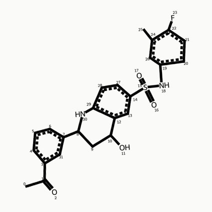 CC(=O)c1cccc(C2CC(O)c3cc(S(=O)(=O)Nc4ccc(F)c(C)c4)ccc3N2)c1